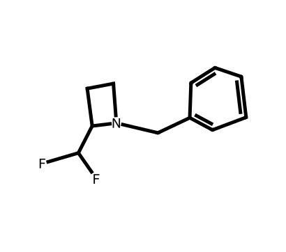 FC(F)C1CCN1Cc1ccccc1